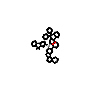 CC1(C)c2ccccc2-c2ccc(N(c3ccc4c(c3)C(c3ccccc3)(c3ccccc3)c3ccccc3-4)c3cc4c(cc3-c3ccccc3)-c3c(ccc5ccccc35)C4)cc21